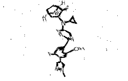 Cn1cc(-c2cc(O)c(-c3ncc(N(C4CC4)C4C[C@H]5CC[C@H](N5)C4F)nn3)cc2F)cn1